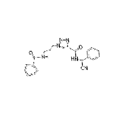 N#CC(NC(=O)c1cn(CCCNC(=O)c2ccccc2)nn1)c1ccccc1